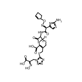 Nc1nc(C(=NOC2C=CCC2)C(=O)NC2C(=O)N3C(C(=O)O)=C(CSc4nnnn4CC(=NO)C(=O)O)CS[C@@H]23)cs1